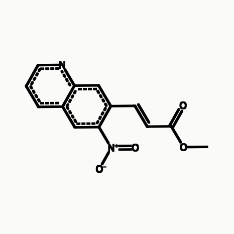 COC(=O)C=Cc1cc2ncccc2cc1[N+](=O)[O-]